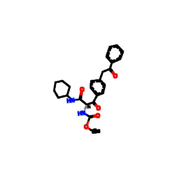 CC(C)(C)OC(=O)N[C@H](C(=O)NC1CCCCC1)C(=O)c1ccc(CC(=O)c2ccccc2)cc1